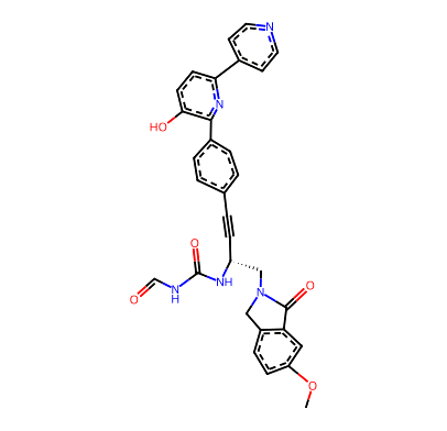 COc1ccc2c(c1)C(=O)N(C[C@@H](C#Cc1ccc(-c3nc(-c4ccncc4)ccc3O)cc1)NC(=O)NC=O)C2